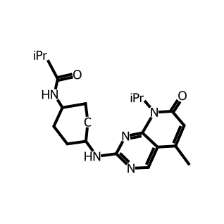 Cc1cc(=O)n(C(C)C)c2nc(NC3CCC(NC(=O)C(C)C)CC3)ncc12